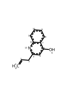 C=CCc1cc(O)c2ccccc2n1